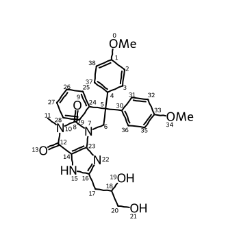 COc1ccc(C(Cn2c(=O)n(C)c(=O)c3[nH]c(CC(O)CO)nc32)(c2ccccc2)c2ccc(OC)cc2)cc1